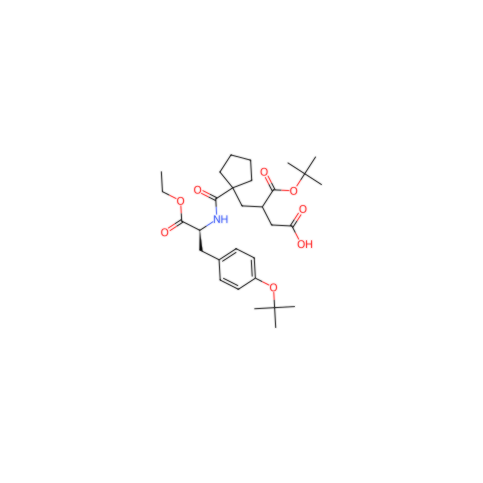 CCOC(=O)[C@H](Cc1ccc(OC(C)(C)C)cc1)NC(=O)C1(CC(CC(=O)O)C(=O)OC(C)(C)C)CCCC1